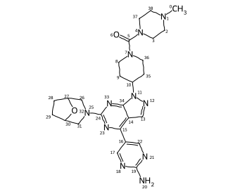 CN1CCN(C(=O)N2CCC(n3ncc4c(-c5cnc(N)nc5)nc(N5CC6CCC(C5)O6)nc43)CC2)CC1